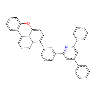 C1=CC2C(c3cccc(-c4cc(-c5ccccc5)cc(-c5ccccc5)n4)c3)=CC=C3Oc4ccccc4C(=C1)C32